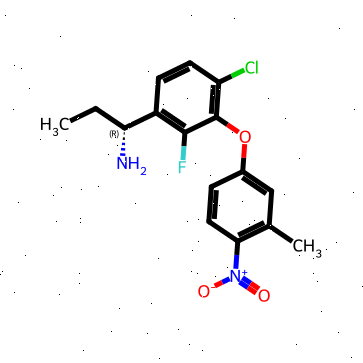 CC[C@@H](N)c1ccc(Cl)c(Oc2ccc([N+](=O)[O-])c(C)c2)c1F